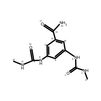 CNC(=O)Nc1cc(NC(=O)NC)cc(C(N)=O)c1